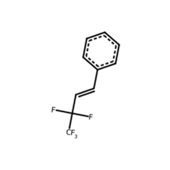 FC(F)(F)C(F)(F)C=Cc1ccccc1